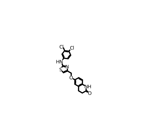 O=C1CCc2cc(OCc3csc(Nc4ccc(Cl)c(Cl)c4)n3)ccc2N1